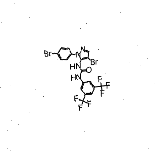 O=C(Nc1cc(C(F)(F)F)cc(C(F)(F)F)c1)Nc1c(Br)cnn1-c1ccc(Br)cc1